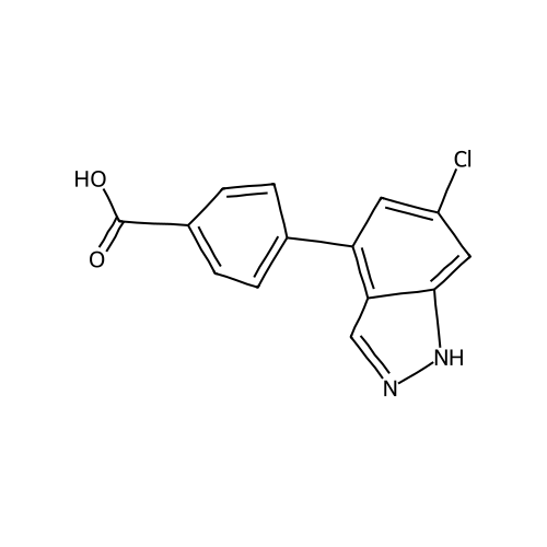 O=C(O)c1ccc(-c2cc(Cl)cc3[nH]ncc23)cc1